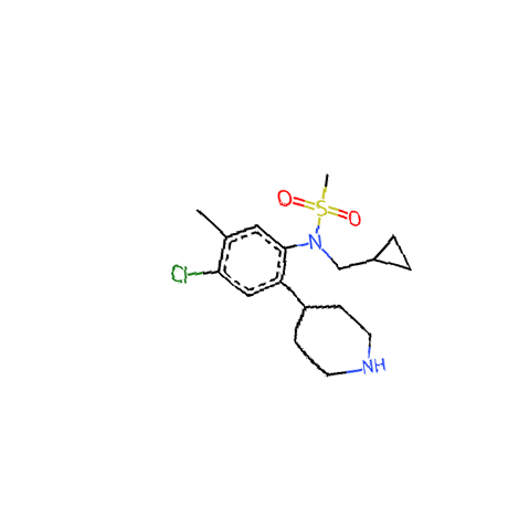 Cc1cc(N(CC2CC2)S(C)(=O)=O)c(C2CCNCC2)cc1Cl